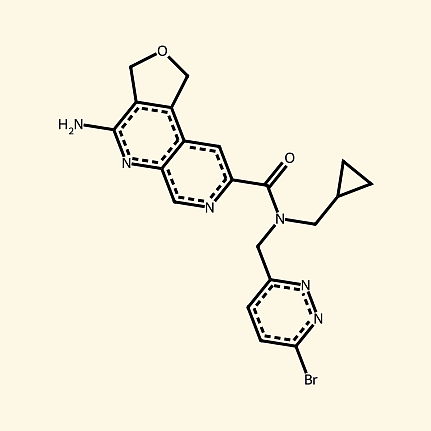 Nc1nc2cnc(C(=O)N(Cc3ccc(Br)nn3)CC3CC3)cc2c2c1COC2